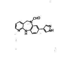 O=CN1Cc2cccnc2Nc2ccc(-c3cn[nH]c3)cc21